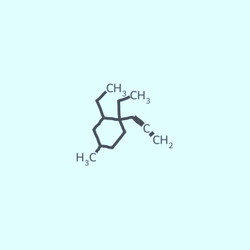 C=C=CC1(CC)CCC(C)CC1CC